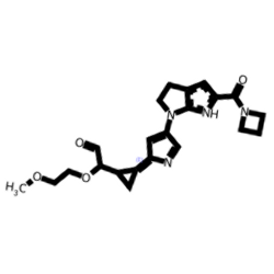 COCCOC(C=O)C1C/C1=C1/C=C(N2CCc3cc(C(=O)N4CCC4)[nH]c32)C=N1